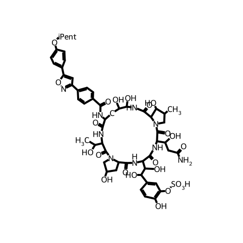 CCCC(C)Oc1ccc(-c2cc(-c3ccc(C(=O)NC4CC(O)C(O)NC(=O)C5C(O)C(C)CN5C(=O)C(C(O)CC(N)=O)NC(=O)C(C(O)C(O)c5ccc(O)c(OS(=O)(=O)O)c5)NC(=O)C5CC(O)CN5C(=O)C(C(C)O)NC4=O)cc3)no2)cc1